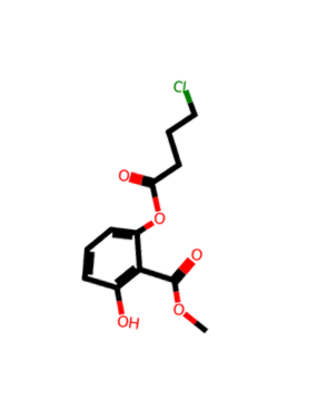 COC(=O)c1c(O)cccc1OC(=O)CCCCl